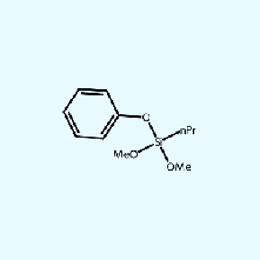 CCC[Si](OC)(OC)Oc1ccccc1